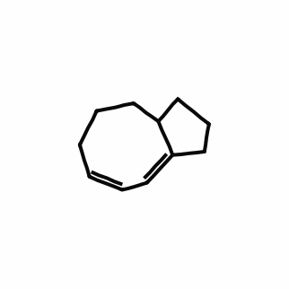 C1=CCCCC2CCCC2=C1